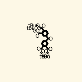 CC(C)(C)OOC(=O)c1ccc(C(=O)c2ccc(C(=O)OOC(C)(C)C)c(C(=O)OOC(C)(C)C)c2)cc1C(=O)OOC(C)(C)C